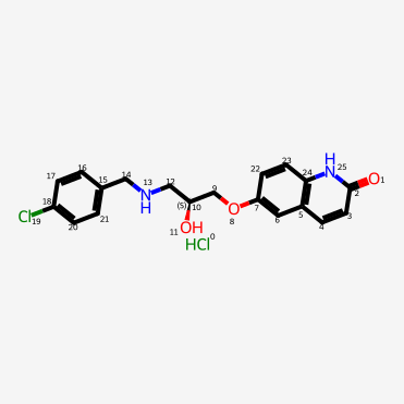 Cl.O=c1ccc2cc(OC[C@@H](O)CNCc3ccc(Cl)cc3)ccc2[nH]1